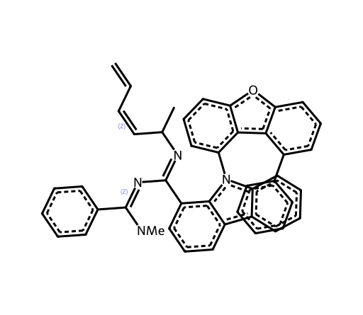 C=C/C=C\C(C)N=C(/N=C(\NC)c1ccccc1)c1cccc2c3ccccc3n(-c3cccc4oc5cccc(-c6ccccc6)c5c34)c12